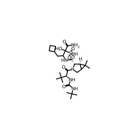 CC(C)(C)NC(=O)N[C@H](C(=O)N1CC2[C@@H]([C@H]1C(=O)NC(CC1CCC1)C(O)(C(N)=O)S(=O)(=O)O)C2(C)C)C(C)(C)C